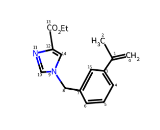 C=C(C)c1cccc(Cn2cnc(C(=O)OCC)c2)c1